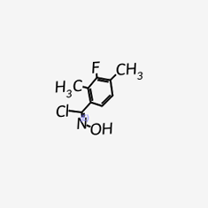 Cc1ccc(/C(Cl)=N\O)c(C)c1F